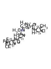 C/C(=N\C(C)c1ncc(C(=O)Nc2ccc(Cl)c(C)c2)s1)c1ncc(C(=O)Nc2cc(C(F)(F)F)c(Cl)cn2)s1